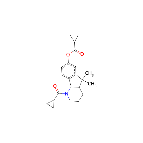 CC1(C)c2cc(OC(=O)C3CC3)ccc2C2C1CCCN2C(=O)C1CC1